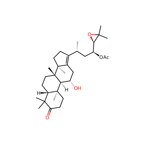 CC(=O)O[C@@H](C[C@@H](C)C1=C2C[C@H](O)[C@H]3[C@@]4(C)CCC(=O)C(C)(C)[C@@H]4CC[C@]3(C)[C@@]2(C)CC1)[C@H]1OC1(C)C